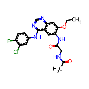 CCOc1cc2ncnc(Nc3ccc(F)c(Cl)c3)c2cc1NC(=O)CNC(C)=O